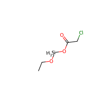 CCO[SiH2]OC(=O)CCl